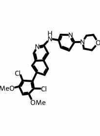 COc1cc(OC)c(Cl)c(-c2ccc3cc(Nc4ccc(N5CCOCC5)nc4)ncc3c2)c1Cl